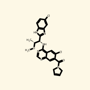 CO[C@H](C)[C@@H](Nc1ncnc2cc(C(=O)N3CC=CC3)c(Cl)cc12)c1nc2cc(Cl)ccc2[nH]1